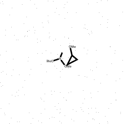 COC1CC1.CON(C)OC